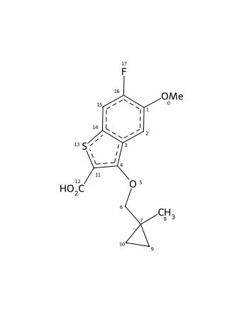 COc1cc2c(OCC3(C)CC3)c(C(=O)O)sc2cc1F